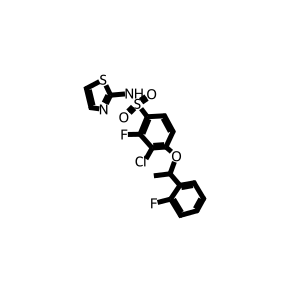 CC(Oc1ccc(S(=O)(=O)Nc2nccs2)c(F)c1Cl)c1ccccc1F